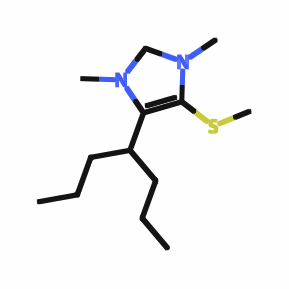 CCCC(CCC)C1=C(SC)N(C)CN1C